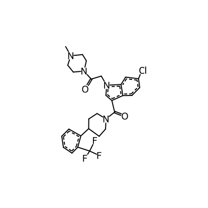 CN1CCN(C(=O)Cn2cc(C(=O)N3CCC(c4ccccc4C(F)(F)F)CC3)c3ccc(Cl)cc32)CC1